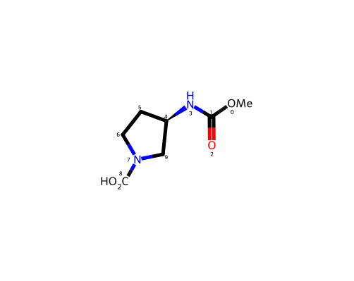 COC(=O)N[C@@H]1CCN(C(=O)O)C1